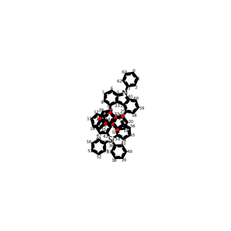 c1ccc(-n2c3cccc(-n4c5ccccc5c5ccccc54)c3c3c(-n4c5ccccc5c5c([Si](c6ccccc6)(c6ccccc6)c6ccccc6)cccc54)cccc32)cc1